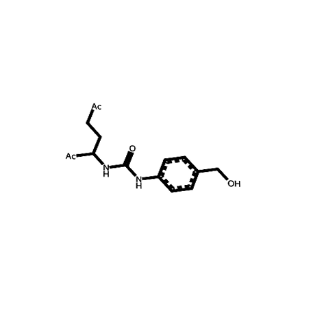 CC(=O)CCC(NC(=O)Nc1ccc(CO)cc1)C(C)=O